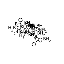 Bc1ccc2c(c1)c1cc(-n3c4c(B)c(B)c(B)c(B)c4c4c(B)c(-c5c(B)c(B)c6c(c5B)c5c(B)c(B)c(B)c(B)c5n6-c5ccccc5)c(B)c(B)c43)ccc1n2-c1ccccc1